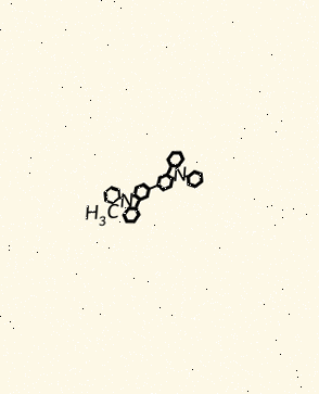 CC1C=CC=CC1n1c2ccccc2c2cc(-c3ccc4c(c3)c3ccccc3n4-c3ccccc3)ccc21